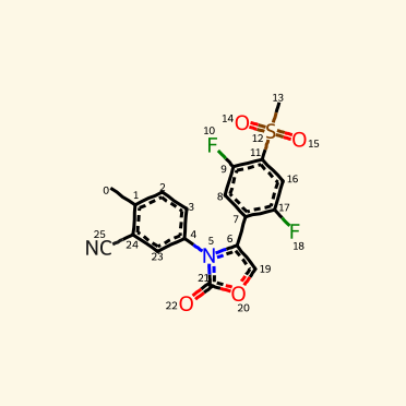 Cc1ccc(-n2c(-c3cc(F)c(S(C)(=O)=O)cc3F)coc2=O)cc1C#N